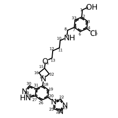 OCc1cc(Cl)cc(CNCCCCOC2CN(c3cc(-n4cnnc4)cc4[nH]ncc34)C2)c1